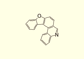 c1ccc2c(c1)ncc1ccc3oc4ccccc4c3c12